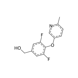 Cc1ccc(Oc2c(F)cc(CO)cc2F)cn1